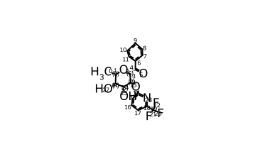 C[C@H]1O[C@H](C(=O)c2ccccc2)[C@H](Oc2cccc(C(F)(F)F)n2)[C@@H](O)[C@H]1O